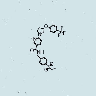 CCS(=O)(=O)c1ccc(CNC(=O)c2ccc(N3CCC(Oc4ccc(C(F)(F)F)cc4)C3)nc2)cc1